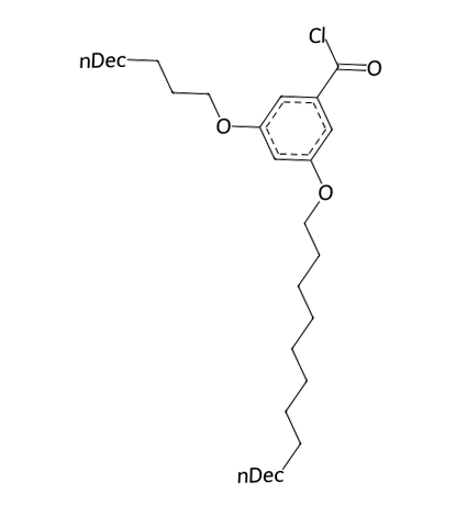 CCCCCCCCCCCCCCCCCCOc1cc(OCCCCCCCCCCCCC)cc(C(=O)Cl)c1